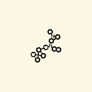 C1=CC(C2(c3ccccc3)c3ccccc3-c3c(C4=CCC(N(c5ccc6ccccc6c5)c5ccc6c(c5)c5ccccc5n6-c5ccccc5)C=C4)cccc32)=CCC1